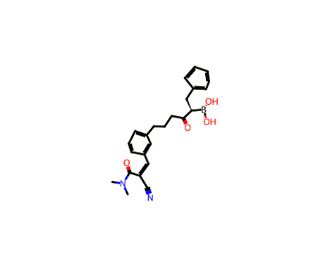 CN(C)C(=O)C(C#N)=Cc1cccc(CCCC(=O)[C@@H](Cc2ccccc2)B(O)O)c1